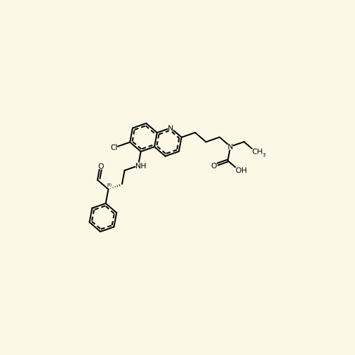 CCN(CCCc1ccc2c(NCC[C@@H](C=O)c3ccccc3)c(Cl)ccc2n1)C(=O)O